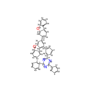 c1ccc(-c2nc(-c3ccccc3)nc(-c3cccc(-c4cc(-c5ccc6c(c5)oc5ccccc56)cc5oc6ccccc6c45)c3)n2)cc1